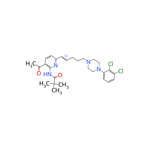 CC(=O)c1ccc(/C=C/CCCN2CCN(c3cccc(Cl)c3Cl)CC2)nc1NC(=O)C(C)(C)C